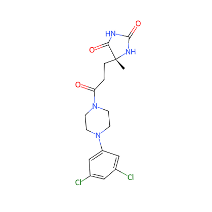 C[C@]1(CCC(=O)N2CCN(c3cc(Cl)cc(Cl)c3)CC2)NC(=O)NC1=O